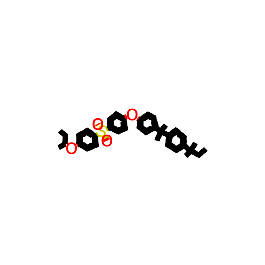 CCC(C)Oc1ccc(S(=O)(=O)c2ccc(Oc3ccc(C(C)(C)c4ccc(C(C)(C)CC)cc4)cc3)cc2)cc1